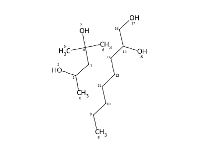 CC(O)CC(C)(C)O.CCCCCCC(O)CO